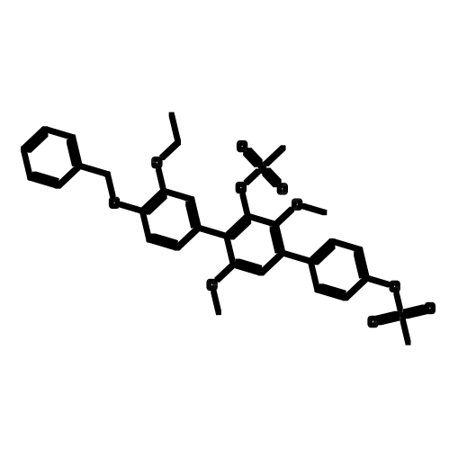 CCOc1cc(-c2c(OC)cc(-c3ccc(OS(C)(=O)=O)cc3)c(OC)c2OS(C)(=O)=O)ccc1OCc1ccccc1